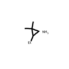 CCC1CC1(C)C.N